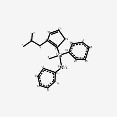 CC(C)CC1=C([Si](C)(Nc2ccccc2)c2ccccc2)CC=C1